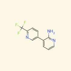 Nc1ncccc1-c1ccc(C(F)(F)F)nc1